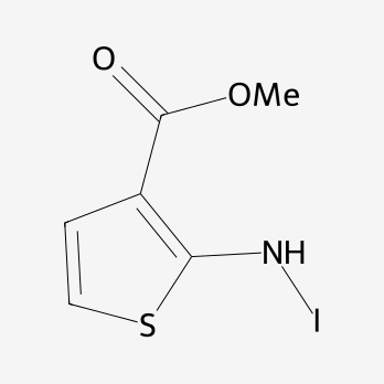 COC(=O)c1ccsc1NI